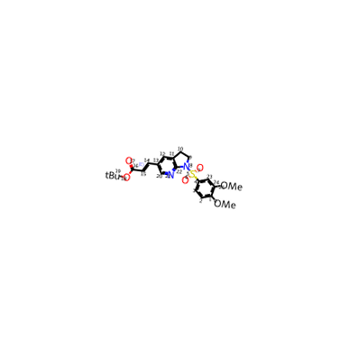 COc1ccc(S(=O)(=O)N2CCc3cc(/C=C/C(=O)OC(C)(C)C)cnc32)cc1OC